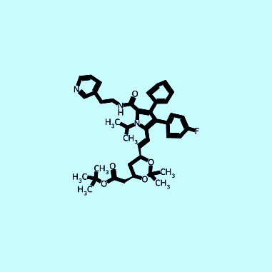 CC(C)n1c(/C=C/[C@@H]2C[C@H](CC(=O)OC(C)(C)C)OC(C)(C)O2)c(-c2ccc(F)cc2)c(-c2ccccc2)c1C(=O)NCCc1cccnc1